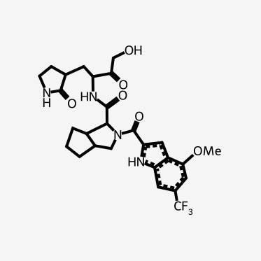 COc1cc(C(F)(F)F)cc2[nH]c(C(=O)N3CC4CCCC4C3C(=O)NC(CC3CCNC3=O)C(=O)CO)cc12